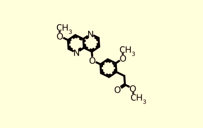 COC(=O)Cc1ccc(Oc2ccnc3cc(OC)cnc23)cc1OC